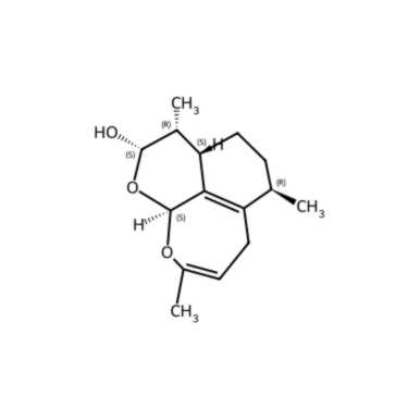 CC1=CCC2=C3[C@@H](O1)O[C@H](O)[C@H](C)[C@@H]3CC[C@H]2C